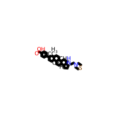 CC1(C)C(c2ccc(C(=O)O)cc2)=CCC2(C)C1CCC1(C)C3CCC4(NCCN5CCSCC5)CCCC4[C@H]3CCC12